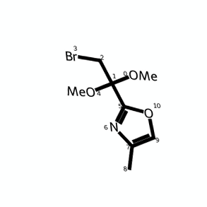 COC(CBr)(OC)c1nc(C)co1